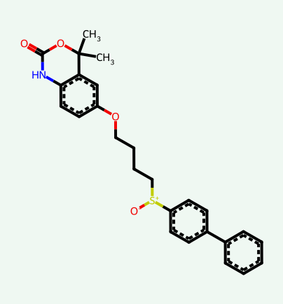 CC1(C)OC(=O)Nc2ccc(OCCCC[S+]([O-])c3ccc(-c4ccccc4)cc3)cc21